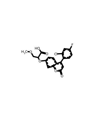 COCC(Oc1ccc2c(-c3ccc(F)cc3Cl)cc(=O)oc2c1)C(=O)O